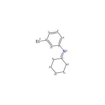 CCc1cccc(N=C2CCCCC2)c1